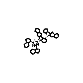 c1ccc2cc3c(cc2c1)c1ccccc1n3-c1cccc2c1c1cc3ccccc3cc1n2-c1nc(-c2cccc3ccccc23)nc(-c2cccc3ccccc23)n1